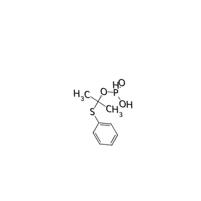 CC(C)(O[PH](=O)O)Sc1ccccc1